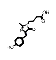 CC1=N/C(=C\c2ccc(O)cc2)C(=O)N1CCCC(=O)O